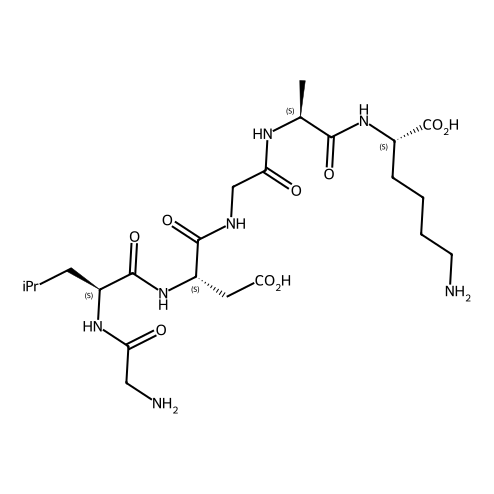 CC(C)C[C@H](NC(=O)CN)C(=O)N[C@@H](CC(=O)O)C(=O)NCC(=O)N[C@@H](C)C(=O)N[C@@H](CCCCN)C(=O)O